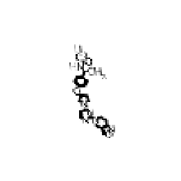 CC(=O)N[C@@H](C)c1ccc(O[C@@H]2CCN(c3ccnc(N4CCc5nocc5C4)n3)C2)cc1